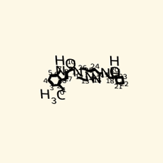 CCc1cccc2[nH]c(C(=O)N3CCn4nc(NCC5(O)CCC5)cc4C3)cc12